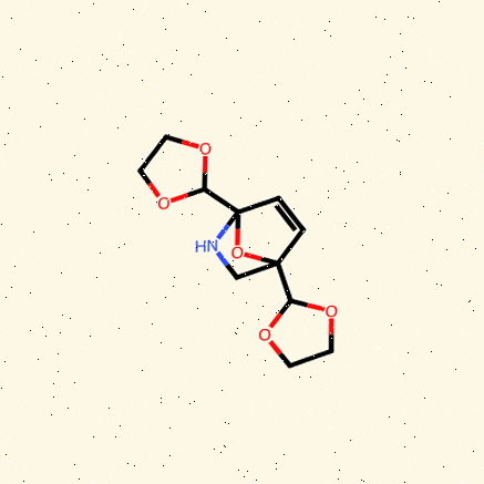 C1=CC2(C3OCCO3)NCC1(C1OCCO1)O2